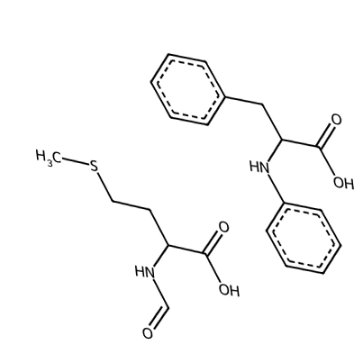 CSCCC(NC=O)C(=O)O.O=C(O)C(Cc1ccccc1)Nc1ccccc1